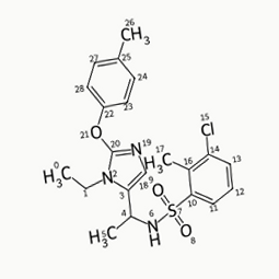 CCn1c(C(C)NS(=O)(=O)c2cccc(Cl)c2C)cnc1Oc1ccc(C)cc1